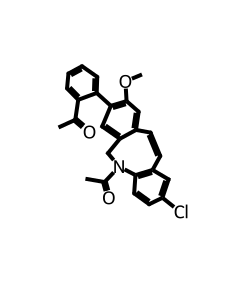 COc1cc2c(cc1-c1ccccc1C(C)=O)CN(C(C)=O)c1ccc(Cl)cc1C=C2